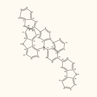 c1ccc(-c2ccc(-c3ccc4ccccc4c3)cc2N(c2ccc(-c3ccc4sc5ccccc5c4c3)cc2)c2cccc3sc4ccccc4c23)cc1